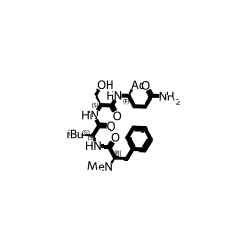 CC[C@H](C)[C@H](NC(=O)[C@@H](Cc1ccccc1)NC)C(=O)N[C@@H](CO)C(=O)N[C@H](CCC(N)=O)C(C)=O